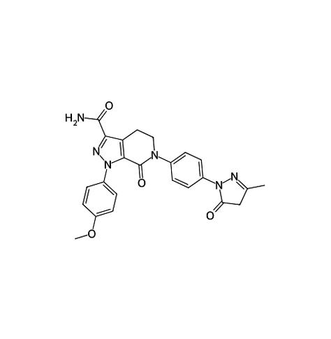 COc1ccc(-n2nc(C(N)=O)c3c2C(=O)N(c2ccc(N4N=C(C)CC4=O)cc2)CC3)cc1